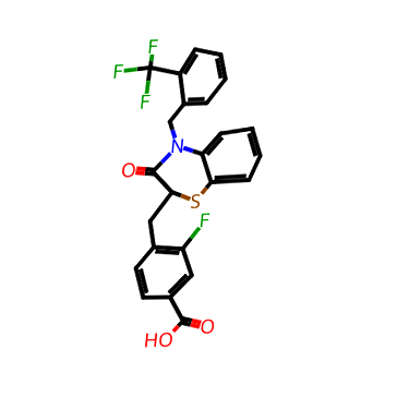 O=C(O)c1ccc(CC2Sc3ccccc3N(Cc3ccccc3C(F)(F)F)C2=O)c(F)c1